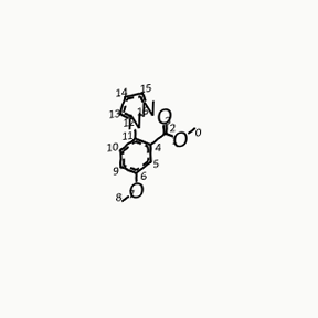 COC(=O)c1cc(OC)ccc1-n1cccn1